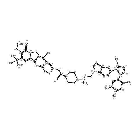 CCc1c2c(nc3ccc(OC(=O)N4CCC(N(C)CCn5ccc6cc(-n7c(O)nnc7-c7cc(C(C)C)c(O)cc7O)ccc65)CC4)cc13)-c1cc(C(O)(C=O)CC)c(COC)c(=O)n1C2